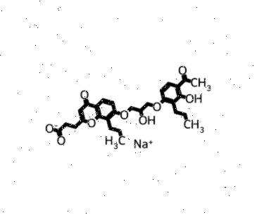 CCCc1c(OCC(O)COc2ccc3c(=O)cc(CCC(=O)[O-])oc3c2CCC)ccc(C(C)=O)c1O.[Na+]